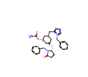 NC(=O)C[C@@H]1C[C@@H](Cc2cncn2Cc2ccccc2)C[C@H](C[C@@H]2CCC(=O)N2Cc2ccccc2)C1